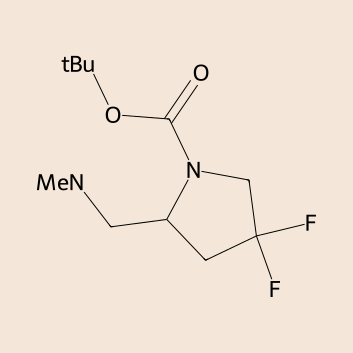 CNCC1CC(F)(F)CN1C(=O)OC(C)(C)C